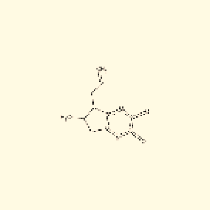 C=CCC1C(C)Cc2nc(=O)c(=O)on21